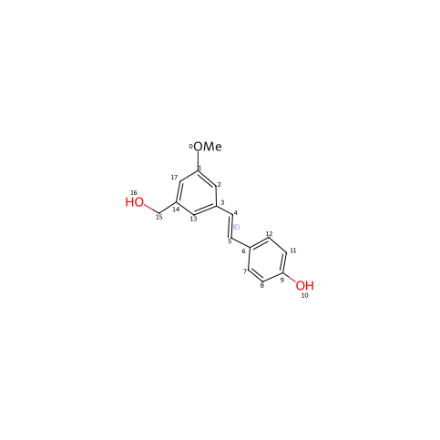 COc1cc(/C=C/c2ccc(O)cc2)cc(CO)c1